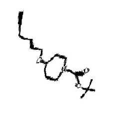 C#CCCCCOC1CCN(C(=O)OC(C)(C)C)CC1